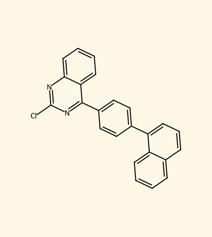 Clc1nc(-c2ccc(-c3cccc4ccccc34)cc2)c2ccccc2n1